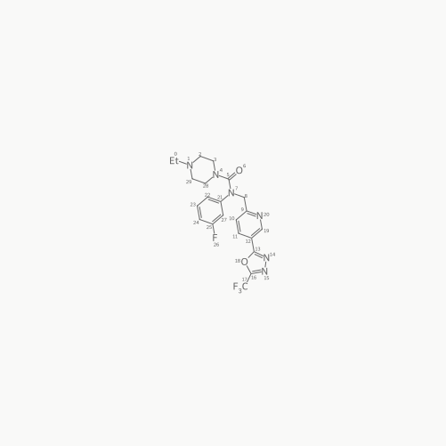 CCN1CCN(C(=O)N(Cc2ccc(-c3nnc(C(F)(F)F)o3)cn2)c2cccc(F)c2)CC1